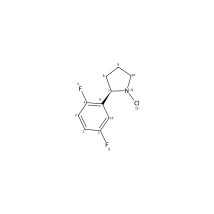 Fc1ccc(F)c([C@H]2CCCN2Cl)c1